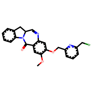 COc1cc2c(cc1OCc1cccc(CBr)n1)N=CC1Cc3ccccc3N1C2=O